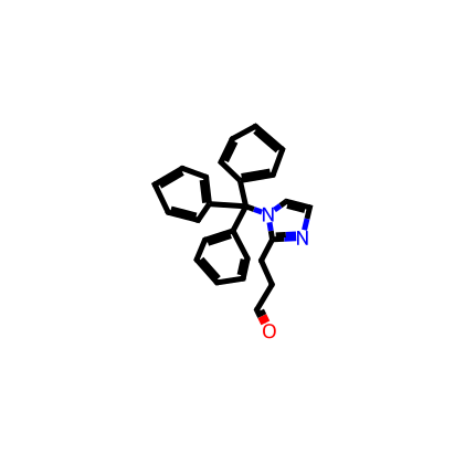 O=CCCc1nccn1C(c1ccccc1)(c1ccccc1)c1ccccc1